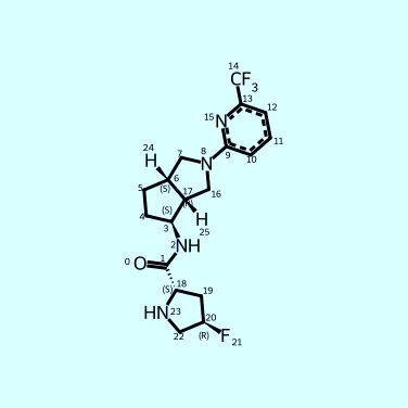 O=C(N[C@H]1CC[C@@H]2CN(c3cccc(C(F)(F)F)n3)C[C@@H]21)[C@@H]1C[C@@H](F)CN1